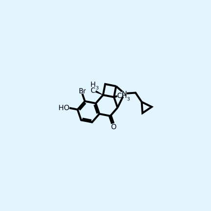 CC12C3C[C@@]1(C)c1c(ccc(O)c1Br)C(=O)C2N3CC1CC1